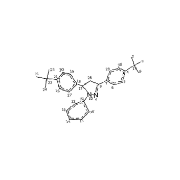 CC(C)(C)c1ccc(C2=NN(c3ccccc3)C(c3ccc(C(C)(C)C)cc3)C2)cc1